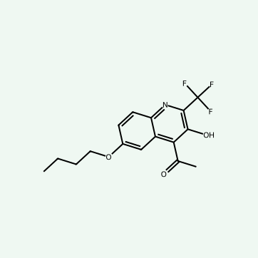 CCCCOc1ccc2nc(C(F)(F)F)c(O)c(C(C)=O)c2c1